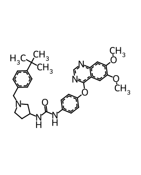 COc1cc2ncnc(Oc3ccc(NC(=O)NC4CCN(Cc5ccc(C(C)(C)C)cc5)C4)cc3)c2cc1OC